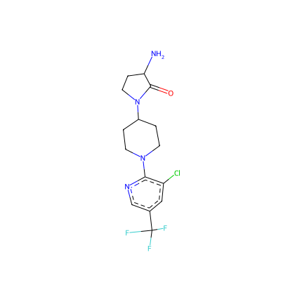 NC1CCN(C2CCN(c3ncc(C(F)(F)F)cc3Cl)CC2)C1=O